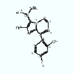 CCCN(c1c(CC)nc2c(-c3ccc(Cl)cc3Cl)nccn12)C(C)CC